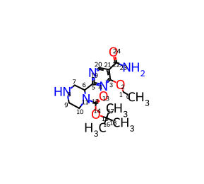 CCOc1nc(C2CNCCN2C(=O)OC(C)(C)C)ncc1C(N)=O